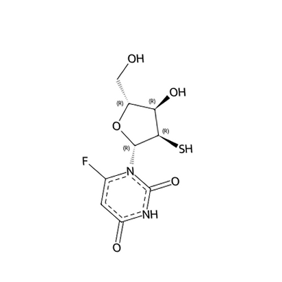 O=c1cc(F)n([C@@H]2O[C@H](CO)[C@@H](O)[C@H]2S)c(=O)[nH]1